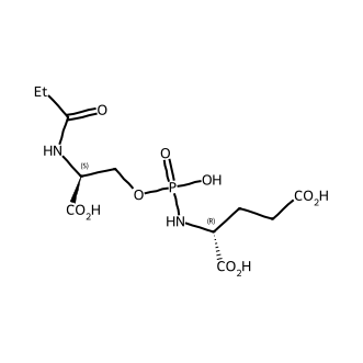 CCC(=O)N[C@@H](COP(=O)(O)N[C@H](CCC(=O)O)C(=O)O)C(=O)O